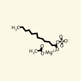 CC(=O)[O-].CCCCCCCCCCCC(=O)OS(=O)(=O)[O-].[Mg+2]